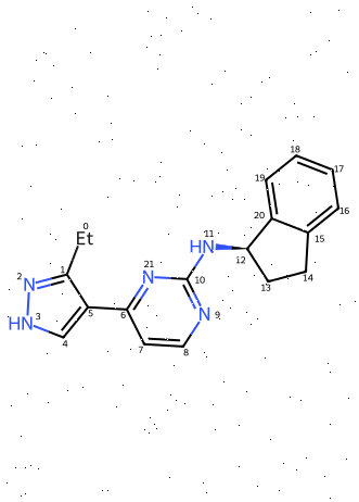 CCc1n[nH]cc1-c1ccnc(N[C@@H]2CCc3ccccc32)n1